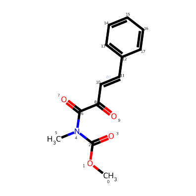 COC(=O)N(C)C(=O)C(=O)/C=C/c1ccccc1